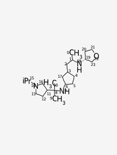 CC(CC1CCC(NC(C)(C)C2CCN(C(C)C)C2)C1)N[C@@H]1CCOC1